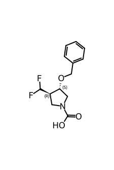 O=C(O)N1C[C@@H](OCc2ccccc2)[C@H](C(F)F)C1